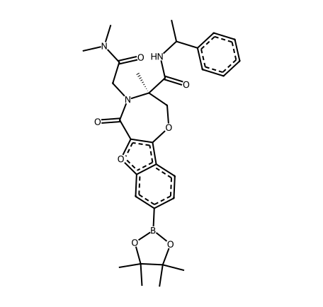 CC(NC(=O)[C@@]1(C)COc2c(oc3cc(B4OC(C)(C)C(C)(C)O4)ccc23)C(=O)N1CC(=O)N(C)C)c1ccccc1